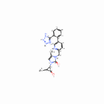 CCCCc1cn(C2C(=O)C2C(C)C)c(=O)n1Cc1ccc(-c2ccccc2-c2nnn[nH]2)cn1